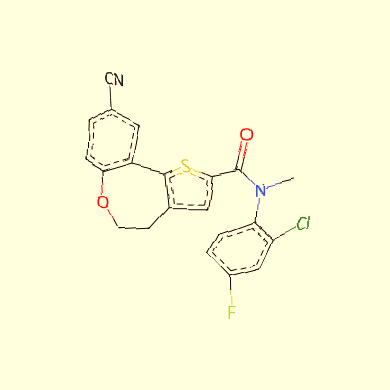 CN(C(=O)c1cc2c(s1)-c1cc(C#N)ccc1OCC2)c1ccc(F)cc1Cl